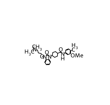 COc1cc(NC(=O)C2CCC(n3c(=O)n(OCCCN(C)C)c4ccccc43)CC2)ccc1C